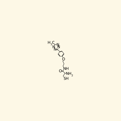 Cc1nnc(-c2ccc(OCCCNC(=O)C(N)CS)cc2)nn1